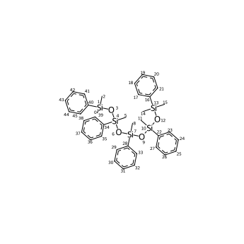 C[Si](C)(O[Si](C)(O[Si](C)(O[Si](C)(O[Si](C)(C)c1ccccc1)c1ccccc1)c1ccccc1)c1ccccc1)c1ccccc1